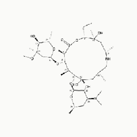 CC[C@H]1OC(=O)[C@H](C)[C@@H](O[C@H]2C[C@@](C)(OC)[C@@H](O)[C@H](C)O2)[C@H](C)[C@@H](O[C@@H]2O[C@H](C)C[C@H](N(C)C)[C@H]2O)[C@@](C)(O)C[C@@H](C)CN[C@@H](C)C[C@]1(C)O